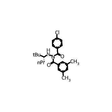 CCC[C@@H](NN(C(=O)c1ccc(Cl)cc1)C(=O)c1cc(C)cc(C)c1)C(C)(C)C